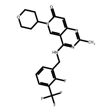 Cc1nc(NCc2cccc(C(F)(F)F)c2F)c2cn(C3CCOCC3)c(=O)cc2n1